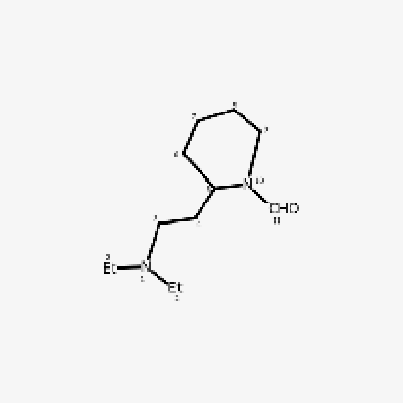 CCN(CC)CCC1CCCCN1C=O